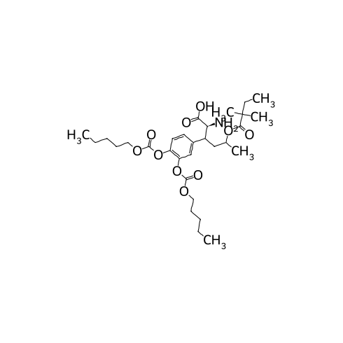 CCCCCOC(=O)Oc1ccc(C(CC(C)OC(=O)C(C)(C)CC)[C@H](N)C(=O)O)cc1OC(=O)OCCCCC